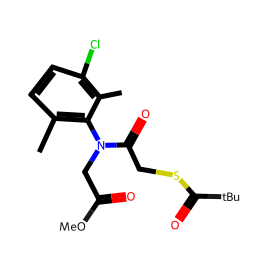 COC(=O)CN(C(=O)CSC(=O)C(C)(C)C)c1c(C)ccc(Cl)c1C